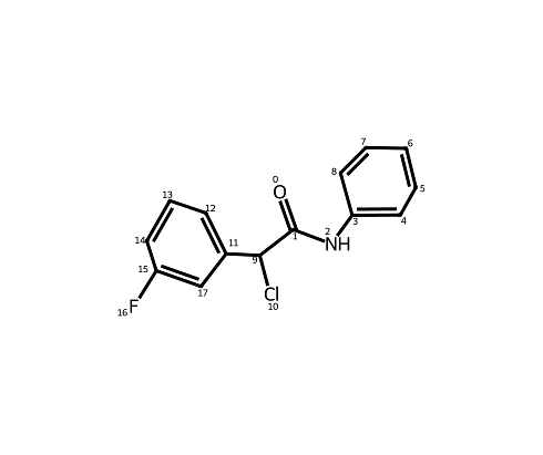 O=C(Nc1ccccc1)C(Cl)c1cccc(F)c1